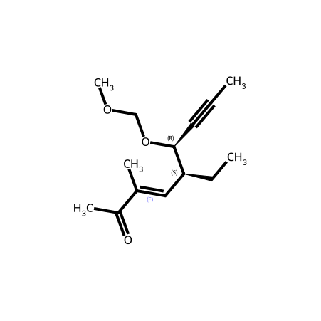 CC#C[C@H](OCOC)[C@H](/C=C(\C)C(C)=O)CC